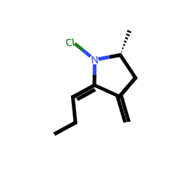 C=C1C[C@@H](C)N(Cl)/C1=C/CC